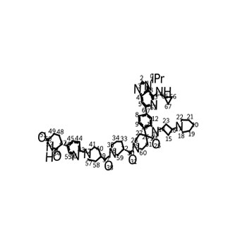 CC(C)n1cnc2cc(-c3ccc4c(c3)N(C3CC(N5CCCCC5)C3)C(=O)C43CCN(C(=O)[C@@H]4CCCN(C(=O)C5CCN(c6ccc([C@H]7CCC(=O)NC7=O)cn6)CC5)C4)CC3)nc(NC3CC3)c21